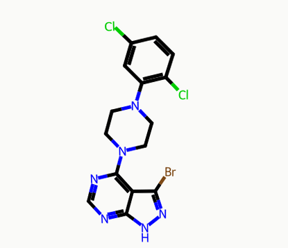 Clc1ccc(Cl)c(N2CCN(c3ncnc4[nH]nc(Br)c34)CC2)c1